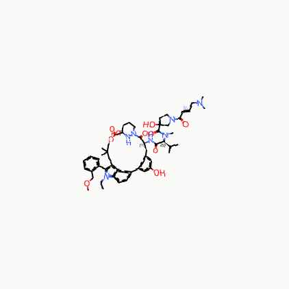 CCn1c(-c2ccccc2COC)c2c3cc(ccc31)-c1cc(O)cc(c1)C[C@H](NC(=O)[C@H](C(C)C)N(C)C(=O)C1(O)CCN(C(=O)/C=C/CN(C)C)C1)C(=O)N1CCC[C@@](O)(N1)C(=O)OCC(C)(C)C2